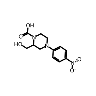 O=C(O)N1CCN(c2ccc([N+](=O)[O-])cc2)CC1CO